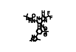 Cc1cn(C)nc1-c1ccc(Nc2cc(NC(=O)[C@H]3CC3(C)C)nc3[nH]c(C(F)F)nc23)c(S(C)(=O)=O)c1